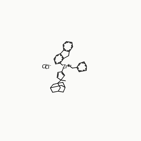 CC1(C23CC4CC(CC(C4)C2)C3)C=C[C]([Zr+2](=[CH]Cc2ccccc2)[c]2cccc3c2Cc2ccccc2-3)=C1.[Cl-].[Cl-]